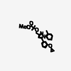 COC(=O)C(C)(C)OCc1cc(-c2cccc(OC3CC3)c2)n(-c2ccccc2C)n1